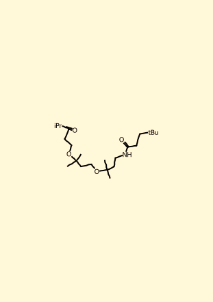 CC(C)C(=O)CCOC(C)(C)CCOC(C)(C)CCNC(=O)CCC(C)(C)C